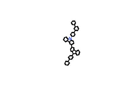 c1ccc(-c2ccc(C3c4ccccc4-c4cc(-c5ccc6c(c5)c5ccccc5n6-c5ccc(-c6cccc(-c7ccccc7)c6)cc5)ccc43)cc2)cc1